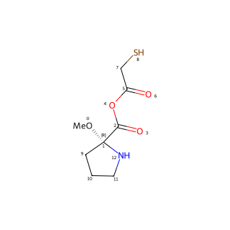 CO[C@@]1(C(=O)OC(=O)CS)CCCN1